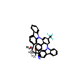 CC(C)(C)c1ccc2c3ccccc3n(-c3cc(C(F)(F)F)cc(-n4c5ccccc5c5ccc(C(C)(C)C)cc54)c3-c3cccc(C#N)c3)c2c1